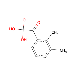 Cc1cccc(C(=O)C(O)(O)O)c1C